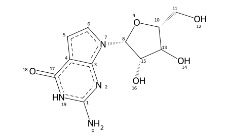 Nc1nc2c(ccn2[C@@H]2O[C@H](CO)C(O)[C@@H]2O)c(=O)[nH]1